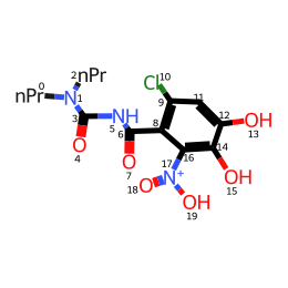 CCCN(CCC)C(=O)NC(=O)c1c(Cl)cc(O)c(O)c1[N+](=O)O